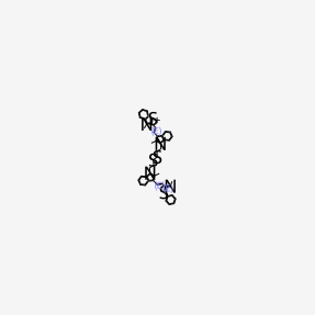 C/N=C(\C=C\c1c(C)n(CCSSCCn2c(C)c(/C=C/c3sc4ccccc4[n+]3C)c3ccccc32)c2ccccc12)Sc1ccccc1